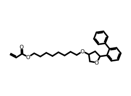 C=CC(=O)OCCCCCCCCOC1COC(c2ccccc2-c2ccccc2)C1